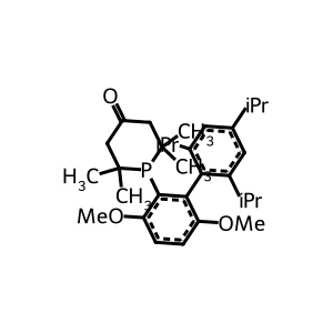 COc1ccc(OC)c(P2C(C)(C)CC(=O)CC2(C)C)c1-c1c(C(C)C)cc(C(C)C)cc1C(C)C